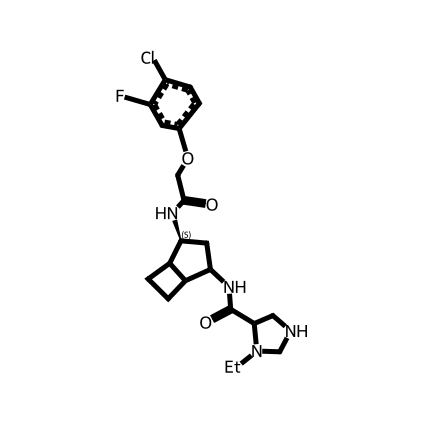 CCN1CNCC1C(=O)NC1C[C@H](NC(=O)COc2ccc(Cl)c(F)c2)C2CCC12